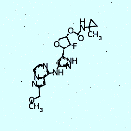 COCc1cc2c(Nc3cc([C@H]4OC[C@@H](OC(=O)NC5(C)CC5)[C@@H]4F)[nH]n3)nccn2n1